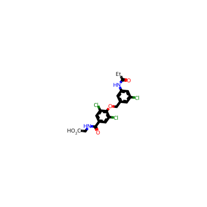 CCC(=O)Nc1cc(Cl)cc(COc2c(Cl)cc(C(=O)NCC(=O)O)cc2Cl)c1